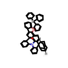 c1ccc([Si](c2ccccc2)(c2ccccc2)c2cccc3c2oc2ccc(-c4ccccc4N4c5ccccc5C5(c6ccccc64)C4CC6C[C@H](C4)C[C@H]5C6)cc23)cc1